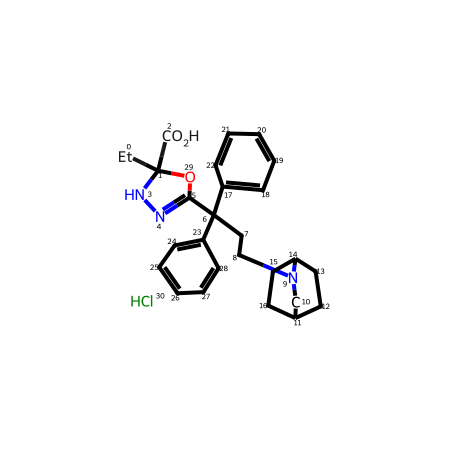 CCC1(C(=O)O)NN=C(C(CCN2CC3CCC2CC3)(c2ccccc2)c2ccccc2)O1.Cl